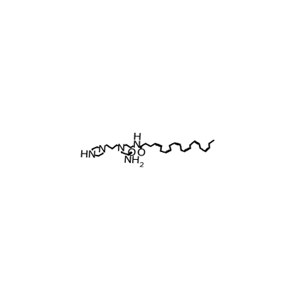 CC/C=C\C/C=C\C/C=C\C/C=C\C/C=C\C/C=C\CCC(=O)NCCN(CCCN1CCNCC1)CC(N)=O